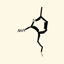 CNc1nc(C)ccc1CCI